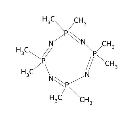 CP1(C)=NP(C)(C)=NP(C)(C)=NP(C)(C)=N1